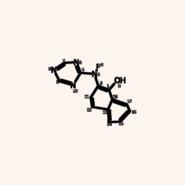 Oc1c(N(F)c2ncncn2)ccc2ccccc12